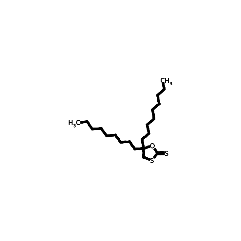 CCCCCCCCCC1(CCCCCCCCC)CSC(=S)O1